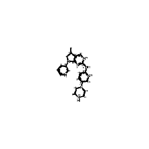 CC1CN(c2cccnc2)c2nc(Nc3ccc(N4CCNCC4)cn3)ncc21